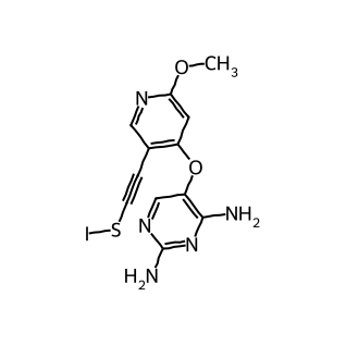 COc1cc(Oc2cnc(N)nc2N)c(C#CSI)cn1